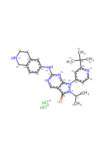 CC(C)n1c(=O)c2cnc(Nc3ccc4c(c3)CCNC4)nc2n1-c1ccnc(C(C)(C)C)c1.Cl.Cl